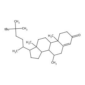 CC1CC2=CC(=O)CCC2(C)C2CCC3(C)C(C(C)CCC(C)(C)C(C)(C)C)CCC3C12